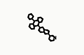 c1ccc(-c2c3ccccc3c(-c3ccc4cc(-c5cccnc5)ccc4c3)c3ccccc23)cc1